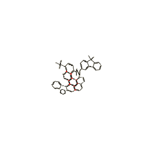 CC(C)(C)c1ccc(N(c2ccc3c(c2)-c2ccccc2C3(C)C)c2ccc3ccccc3c2-c2ccccc2-c2cccc3oc4ccccc4c23)c(-c2ccccc2)c1